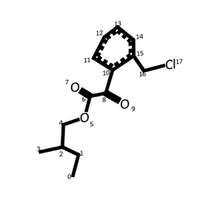 CCC(C)COC(=O)C(=O)c1ccccc1CCl